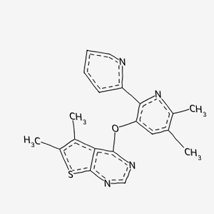 Cc1cc(Oc2ncnc3sc(C)c(C)c23)c(-c2ccccn2)nc1C